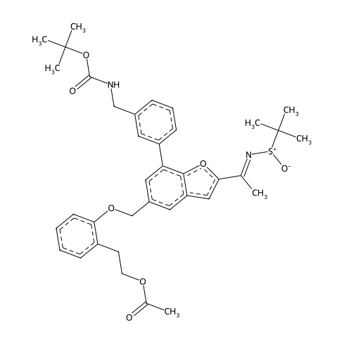 CC(=O)OCCc1ccccc1OCc1cc(-c2cccc(CNC(=O)OC(C)(C)C)c2)c2oc(C(C)=N[S+]([O-])C(C)(C)C)cc2c1